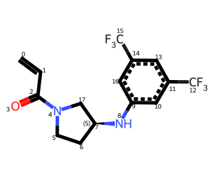 C=CC(=O)N1CC[C@H](Nc2cc(C(F)(F)F)cc(C(F)(F)F)c2)C1